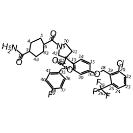 NC(=O)C1CCC(C(=O)N2CC[C@](c3ccc(OCc4c(Cl)cccc4C(F)(F)F)cc3)(S(=O)(=O)c3ccc(F)cc3)C2)CC1